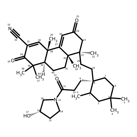 CC1CC(C)(C)CC[C@]1(CCC(=O)N1CC[C@H](O)C1)CC[C@]1(C)CC(=O)C=C2[C@@]3(C)C=C(C#N)C(=O)C(C)(C)[C@@H]3CC[C@]21C